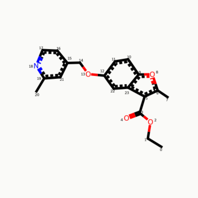 CCOC(=O)c1c(C)oc2ccc(OCc3ccnc(C)c3)cc12